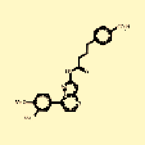 COc1ccc(-c2ccnc3cc(NC(=O)CCCc4ccc(C(=O)O)cc4)nn23)cc1OC